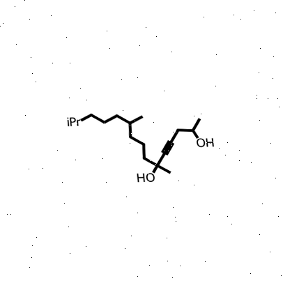 CC(C)CCCC(C)CCCC(C)(O)C#CCC(C)O